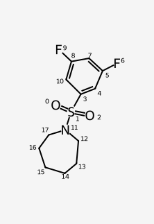 O=S(=O)(c1cc(F)cc(F)c1)N1CCCCCC1